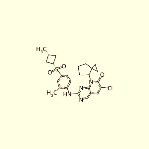 Cc1cc(S(=O)(=O)[C@H]2C[C@@H](C)C2)ccc1Nc1ncc2cc(Cl)c(=O)n(C3CCCC34CC4)c2n1